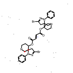 O=C(/C=C/C(=O)OC12CCN(CC1)CC21CC(Br)=NN1c1ccccc1)OC12CCN(CC1)CC21CC(Br)=NN1c1ccccc1